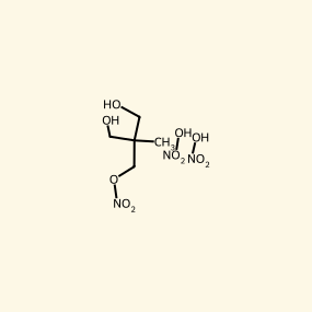 CC(CO)(CO)CO[N+](=O)[O-].O=[N+]([O-])O.O=[N+]([O-])O